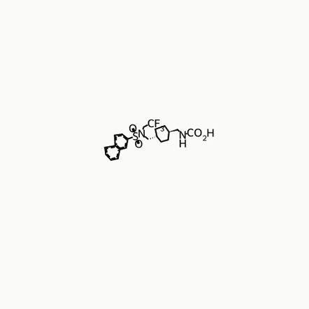 O=C(O)NC[C@H]1CC[C@H](CN(CC(F)(F)F)S(=O)(=O)c2ccc3ccccc3c2)CC1